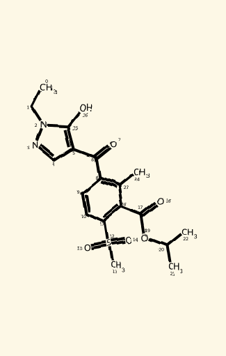 CCn1ncc(C(=O)c2ccc(S(C)(=O)=O)c(C(=O)OC(C)C)c2C)c1O